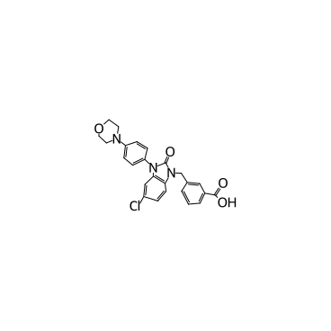 O=C(O)c1cccc(Cn2c(=O)n(-c3ccc(N4CCOCC4)cc3)c3cc(Cl)ccc32)c1